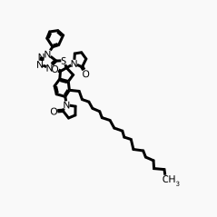 CCCCCCCCCCCCCCCCCCc1c(N2CCCC2=O)ccc2c1CC(Sc1nnnn1-c1ccccc1)(N1CCCC1=O)C2=O